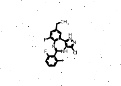 CCc1cc(F)c2c(c1)-c1[nH]nc(Cl)c1NC(c1c(F)cccc1F)=N2